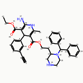 C#Cc1cccc(C2C(C(=O)OCCC3CNCCN3C(c3ccccc3)c3ccccc3)=C(C)NC(N)=C2C(=O)OCC)c1